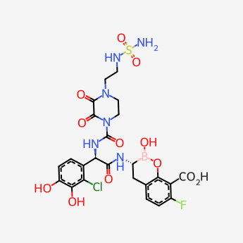 NS(=O)(=O)NCCN1CCN(C(=O)N[C@@H](C(=O)N[C@H]2Cc3ccc(F)c(C(=O)O)c3OB2O)c2ccc(O)c(O)c2Cl)C(=O)C1=O